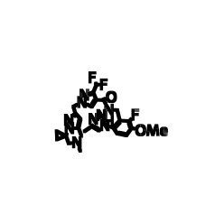 COc1ccc(-n2cc(C)nn2)c(CNC(=O)c2cn(Cc3cc4n(n3)C3(CC3)CN(C)C4)nc2C(F)F)c1F